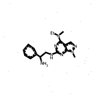 CCN(C)c1nc(NCC(N)c2ccccc2)nc2c1cnn2C